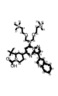 CC(C)(C)C1CC(c2cc(N(COCC[Si](C)(C)C)COCC[Si](C)(C)C)n3ncc(-c4cnc5ccccc5c4)c3n2)CCN1C(=O)O